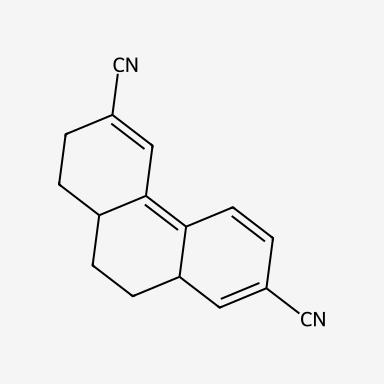 N#CC1=CC2CCC3CCC(C#N)=CC3=C2C=C1